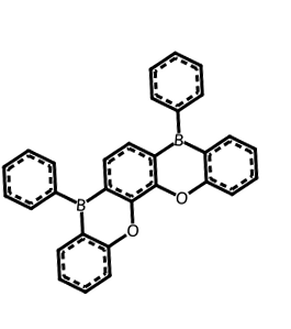 c1ccc(B2c3ccccc3Oc3c2ccc2c3Oc3ccccc3B2c2ccccc2)cc1